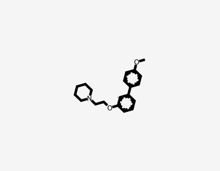 COc1ccc(-c2[c]c(OCCN3CCCCC3)ccc2)cc1